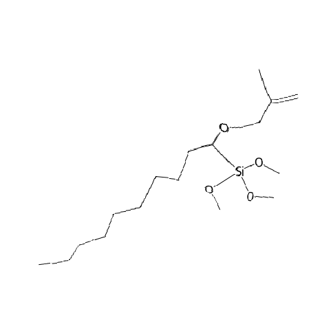 C=C(C)COC(CCCCCCCCC)[Si](OC)(OC)OC